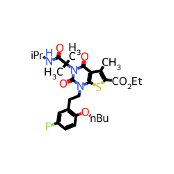 CCCCOc1ccc(F)cc1CCn1c(=O)n(C(C)(C)C(=O)NC(C)C)c(=O)c2c(C)c(C(=O)OCC)sc21